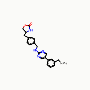 CNCc1cccc(-c2cnc(NCc3ccc(CC4COC(=O)N4)cc3)nc2)c1